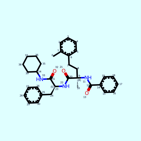 Cc1ccccc1CC[C@@](C)(NC(=O)c1ccccc1)C(=O)N[C@@H](Cc1ccccc1)C(=O)NC1CCCCC1